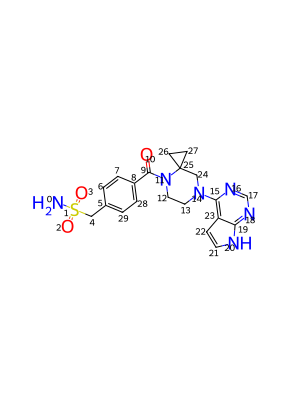 NS(=O)(=O)Cc1ccc(C(=O)N2CCN(c3ncnc4[nH]ccc34)CC23CC3)cc1